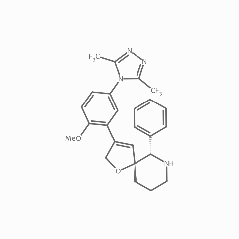 COc1ccc(-n2c(C(F)(F)F)nnc2C(F)(F)F)cc1C1=C[C@@]2(CCCN[C@H]2c2ccccc2)OC1